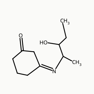 CCC(O)C(C)/N=C1/CCCC(=O)C1